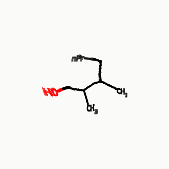 CCCCC(C)C(C)CO